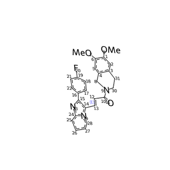 COc1cc2c(cc1OC)CN(C(=O)/C=C/c1c(-c3ccc(F)cc3)nc3ccccn13)CC2